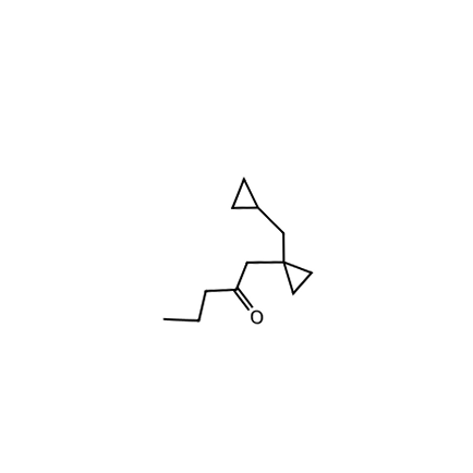 CCCC(=O)CC1(CC2CC2)CC1